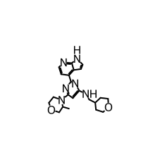 CC1COCCN1c1cc(NCC2CCOCC2)nc(-c2ccnc3[nH]ccc23)n1